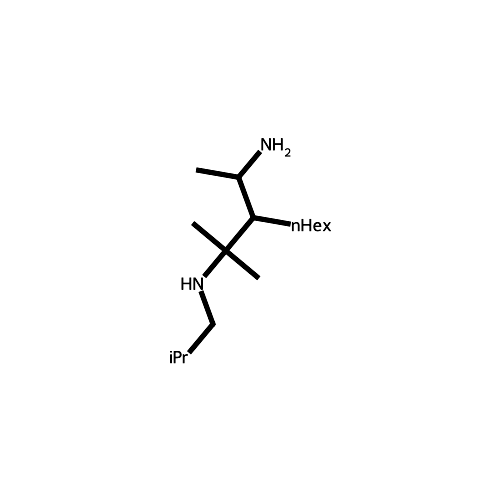 CCCCCCC(C(C)N)C(C)(C)NCC(C)C